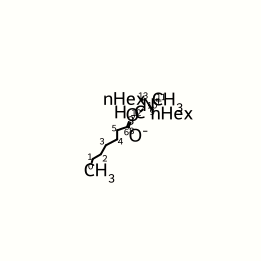 CCCCCCC(=O)[O-].CCCCCC[N+](C)(C)CCCCCC